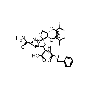 CC(C)C(=O)O[C@H]1CO[C@](CC(C)C(NC(=O)OCc2ccccc2)C(=O)O)(n2cnc(C(N)=O)n2)[C@H]1OC(=O)C(C)C